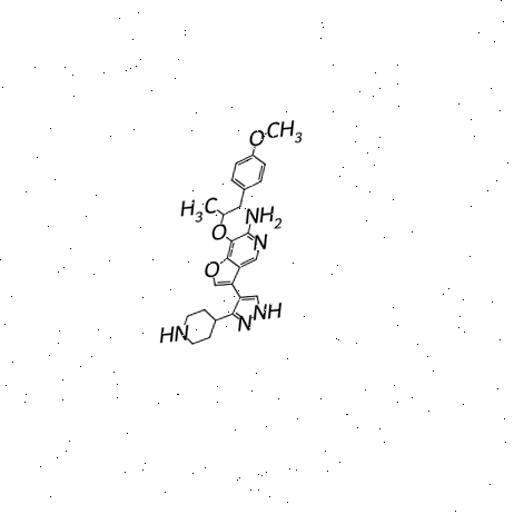 COc1ccc(CC(C)Oc2c(N)ncc3c(-c4c[nH]nc4C4CCNCC4)coc23)cc1